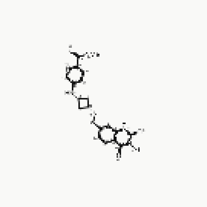 CCn1c(=O)[nH]c2cc(CN[C@H]3C[C@@H](Nc4ccc(C(=O)NC)nc4)C3)ccc2c1=O